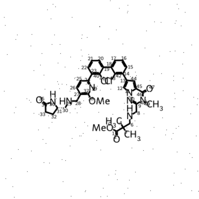 COC(=O)C(C)(C)CNCc1nn2cc(-c3cccc(-c4cccc(-c5ccc(CNC[C@@H]6CCC(=O)N6)c(OC)n5)c4Cl)c3Cl)cc2c(=O)n1C